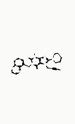 CC#CCn1c(N2CCC[C@@H](N)C2)nc2c1c(=O)n(Cc1cccc3nccnc13)c(=O)n2C.Cl